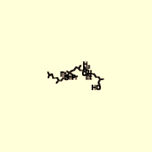 CCCC(CC)(OCCC(C)CCC=C(C)C)C(C)(C)CCCC(C)CCOC(CC)(CN)C(C)(C)CCCC(C)CCO